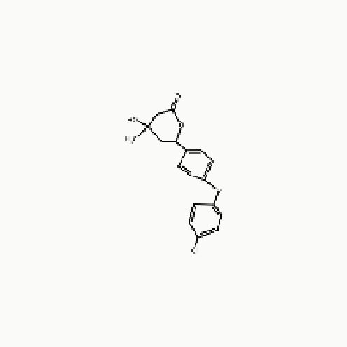 CC1(O)CC(=O)OC(c2ccc(Oc3ccc(Cl)cc3)cc2)C1